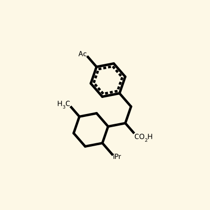 CC(=O)c1ccc(CC(C(=O)O)C2CC(C)CCC2C(C)C)cc1